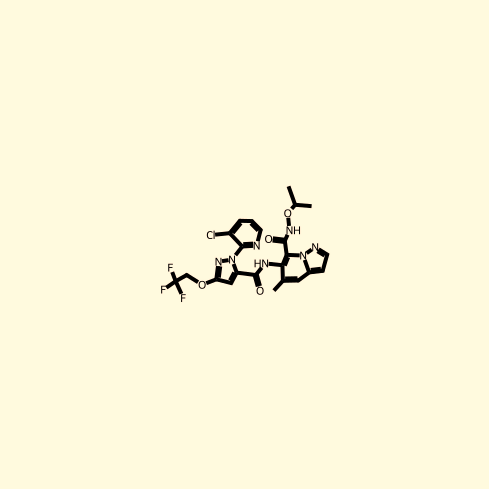 Cc1cc2ccnn2c(C(=O)NOC(C)C)c1NC(=O)c1cc(OCC(F)(F)F)nn1-c1ncccc1Cl